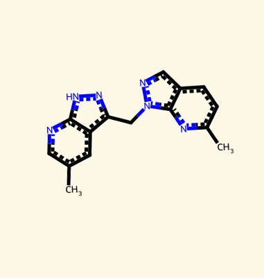 Cc1cnc2[nH]nc(Cn3ncc4ccc(C)nc43)c2c1